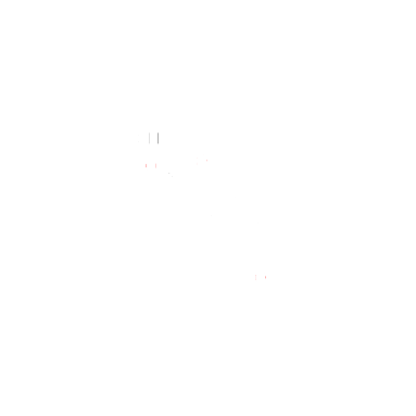 COC(=O)CC1C=C(O)CC1